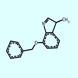 CC1C=Nc2c(OCc3ccccc3)cccc21